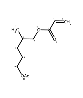 C=CC(=O)OCC(C)CCCOC(C)=O